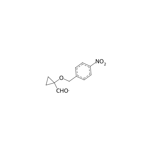 O=[C]C1(OCc2ccc([N+](=O)[O-])cc2)CC1